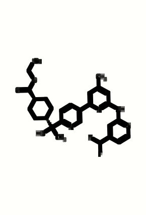 Cc1cc(Nc2cc(C(F)F)ccn2)nc(-c2ccc(C(C)(O)[C@H]3CC[C@H](C(=O)OCC(C)(C)C)CC3)nc2)c1